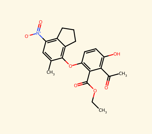 CCOC(=O)c1c(Oc2c(C)cc([N+](=O)[O-])c3c2CCC3)ccc(O)c1C(C)=O